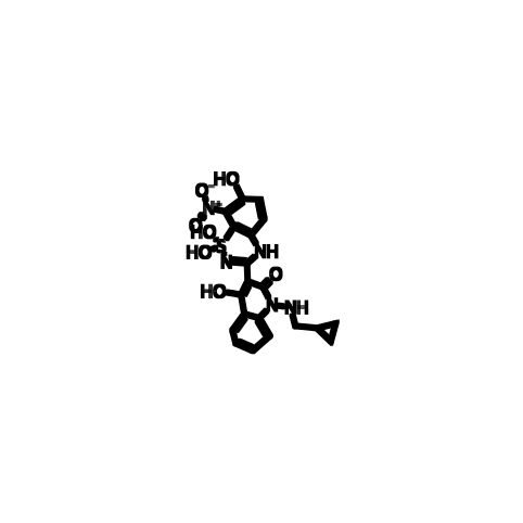 O=c1c(C2=NS(O)(O)c3c(ccc(O)c3[N+](=O)[O-])N2)c(O)c2ccccc2n1NCC1CC1